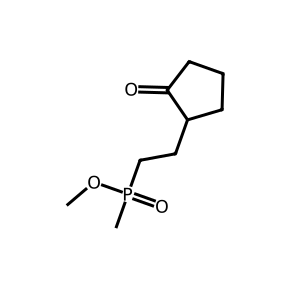 COP(C)(=O)CCC1CCCC1=O